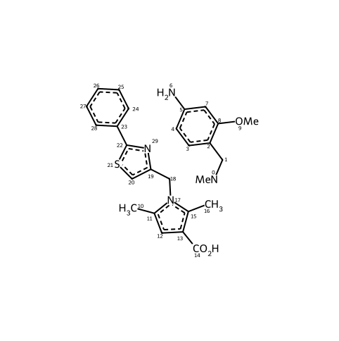 CNCc1ccc(N)cc1OC.Cc1cc(C(=O)O)c(C)n1Cc1csc(-c2ccccc2)n1